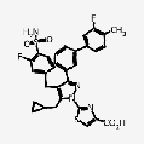 Cc1ccc(-c2cccc(-c3nn(-c4nc(C(=O)O)cs4)c(CC4CC4)c3Cc3ccc(S(N)(=O)=O)c(F)c3)c2)cc1F